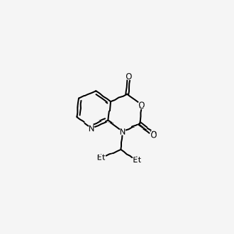 CCC(CC)n1c(=O)oc(=O)c2cccnc21